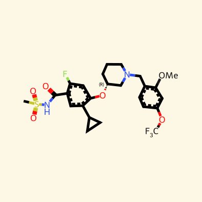 COc1cc(OC(F)(F)F)ccc1CN1CCC[C@@H](Oc2cc(F)c(C(=O)NS(C)(=O)=O)cc2C2CC2)C1